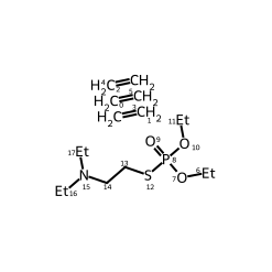 C=C.C=C.C=C.CCOP(=O)(OCC)SCCN(CC)CC